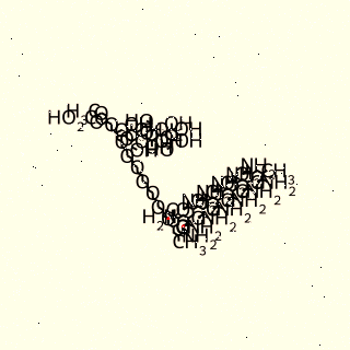 CC(CC(COCCOCCOCCOCCOCCOCCOCC(COC1COC(C)(C(=O)O)OC1)O[C@@H]1O[C@@H](CO)[C@@H](O[C@@H]2OC(CO)[C@H](O[C@H]3OC(CO)[C@H](O)[C@H](O)C3O)[C@H](O)C2O)C(O)C1O)CC(CC(CC(CC(CC(CC(CC(CC(CC(CC(CC(CC(C)C(N)=O)C(N)=O)C(N)=O)C(N)=O)C(N)=O)C(N)=O)C(N)=O)C(N)=O)C(N)=O)C(N)=O)C(N)=O)C(N)=O)C(N)=O